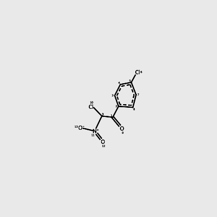 O=C(c1ccc(Cl)cc1)C(Cl)[N+](=O)[O-]